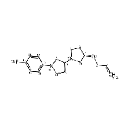 C=CCO[C@@H]1CCN(C2CCN(c3ccc(F)cc3)C2)C1